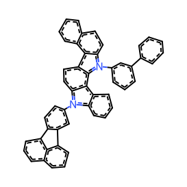 c1ccc(-c2cccc(-n3c4ccc5ccccc5c4c4ccc5c(c6ccccc6n5-c5ccc6c(c5)-c5cccc7cccc-6c57)c43)c2)cc1